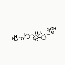 Cn1ccc(COc2ccc(Cc3cc(-c4ccc[n+](COP(=O)([O-])O)c4N)on3)cn2)n1